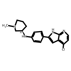 CN1CCC[C@@H](Nc2ccc(-c3cc4c(Cl)ccnc4[nH]3)cc2)C1